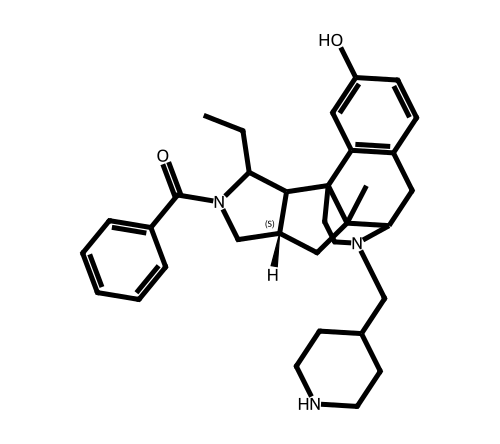 CCC1C2[C@@H](CN1C(=O)c1ccccc1)CC1(C)C3Cc4ccc(O)cc4C21CCN3CC1CCNCC1